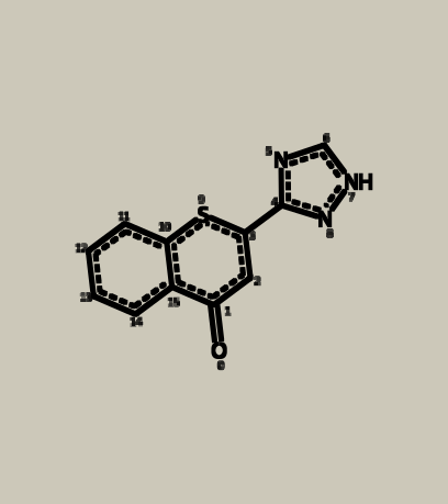 O=c1cc(-c2nc[nH]n2)sc2ccccc12